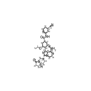 CCOc1cc(C(=O)Nc2cc(C#N)ccn2)cc(F)c1-c1nc([C@@H]2CC[C@H]3CCC(=O)N3C2)n2ccnc(N)c12